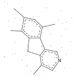 Cc1cc(C)c2c(c1C)Cc1c(C)cncc1-2